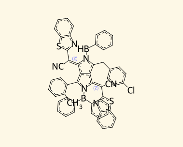 Cc1ccccc1-c1c2/c(=C(\C#N)c3nc4ccccc4s3)n(Bc3ccccc3)c(Cc3ccc(Cl)cc3)c2/c(=C(\C#N)c2nc3ccccc3s2)n1B(c1ccccc1)c1ccccc1